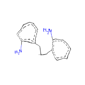 Nc1ccccc1[CH]c1ccccc1N